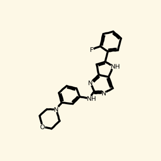 Fc1ccccc1-c1cc2nc(Nc3cccc(N4CCOCC4)c3)ncc2[nH]1